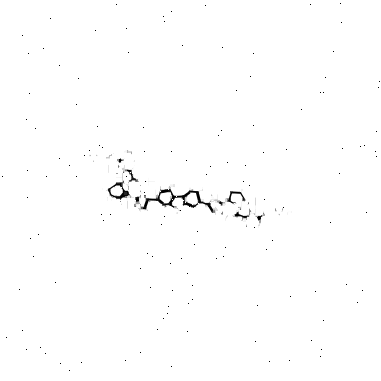 COC(=O)N[C@@H](C)C(=O)N1CCC[C@H]1c1ncc(-c2ccc3c(c2)sc2cc(-c4cnc([C@@H]5[C@H]6CC[C@H](C6)N5C(O)[C@H](C)NC(=O)OC)[nH]4)ccc23)[nH]1